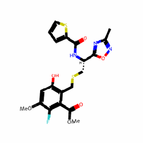 COC(=O)c1c(F)c(OC)cc(O)c1CSC[C@H](NC(=O)c1cccs1)c1nc(C)no1